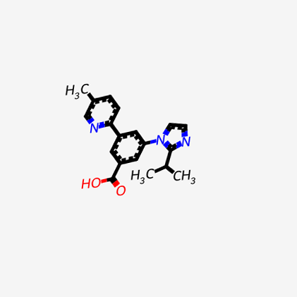 Cc1ccc(-c2cc(C(=O)O)cc(-n3ccnc3C(C)C)c2)nc1